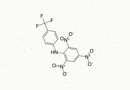 O=[N+]([O-])c1cc([N+](=O)[O-])c(Nc2ccc(C(F)(F)F)cc2)c([N+](=O)[O-])c1